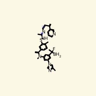 BC(C)(F)c1cc(N(C)C(=C)c2ccc(C)c(SN/C(C)=N/C=C\C(=C)c3cccnc3)c2)cc(-n2cnc(C)c2)c1